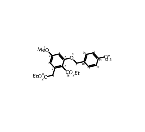 CCOC(=O)Cc1cc(OC)cc(OCc2ccc(C(F)(F)F)cc2)c1C(=O)OCC